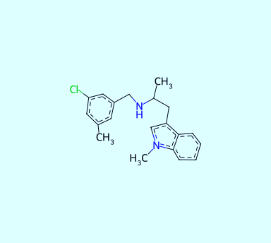 Cc1cc(Cl)cc(CNC(C)Cc2cn(C)c3ccccc23)c1